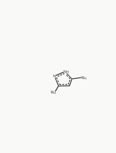 CCC(C)c1cc(C(C)CC)[nH]n1